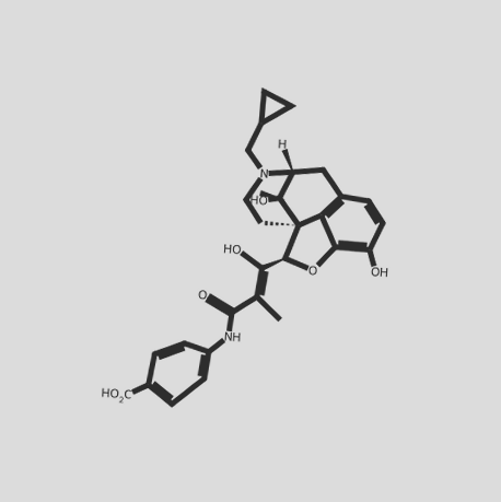 C/C(C(=O)Nc1ccc(C(=O)O)cc1)=C(/O)[C@@H]1Oc2c(O)ccc3c2[C@@]12CCN(CC1CC1)[C@H](C3)[C@@]2(C)O